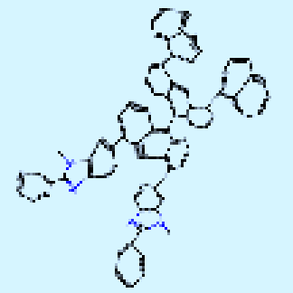 Cn1c(-c2ccccc2)nc2ccc(-c3cccc4c(-c5c6cccc(-c7cccc8ccccc78)c6cc6c(-c7cccc8ccccc78)cccc56)c5cccc(-c6ccc7nc(-c8ccccc8)n(C)c7c6)c5cc34)cc21